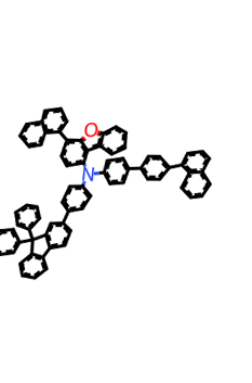 c1ccc(C2(c3ccccc3)c3ccccc3-c3ccc(-c4ccc(N(c5ccc(-c6ccc(-c7cccc8ccccc78)cc6)cc5)c5ccc(-c6cccc7ccccc67)c6oc7ccccc7c56)cc4)cc32)cc1